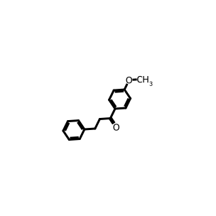 COc1ccc(C(=O)CCc2ccccc2)cc1